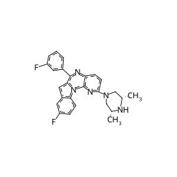 C[C@@H]1CN(c2ccc3nc(-c4cccc(F)c4)c4cc5cc(F)ccc5n4c3n2)C[C@H](C)N1